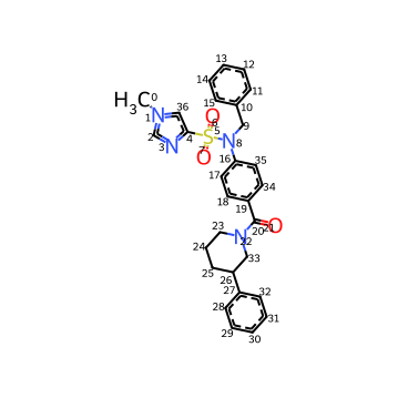 Cn1cnc(S(=O)(=O)N(Cc2ccccc2)c2ccc(C(=O)N3CCCC(c4ccccc4)C3)cc2)c1